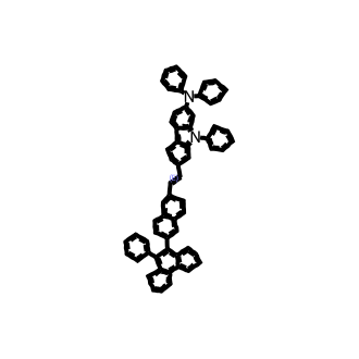 C(=C\c1ccc2c3ccc(N(c4ccccc4)c4ccccc4)cc3n(-c3ccccc3)c2c1)/c1ccc2cc(-c3c(-c4ccccc4)c4ccccc4c4ccccc34)ccc2c1